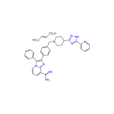 N=C(N)c1cccn2c(-c3ccccc3)c(-c3ccc(CN4CCC(c5n[nH]c(-c6ccccn6)n5)CC4)cc3)nc12.O=C(O)/C=C/C(=O)O